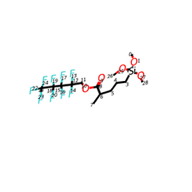 CO[Si](CCCC(C)C(=O)OCC(F)(F)C(F)(F)C(F)(F)C(F)(F)F)(OC)OC